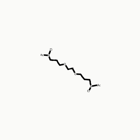 CC(=O)N(Cl)CCCOCCOCCCN(Cl)C(C)=O